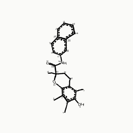 Cc1c(C)c2c(c(C)c1O)CCC(C)(C(=O)Nc1ccc3ccccc3c1)O2